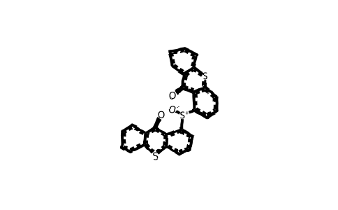 O=c1c2ccccc2sc2cccc([S+]([O-])c3cccc4sc5ccccc5c(=O)c34)c12